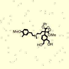 COC(=O)C(CCCN(C)CCc1ccc(OC)c(C)c1)(C(=O)OC(C)C)c1ccc(CO)c(CO)c1